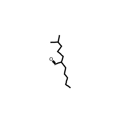 CCCCCC([C]=O)CCCC(C)C